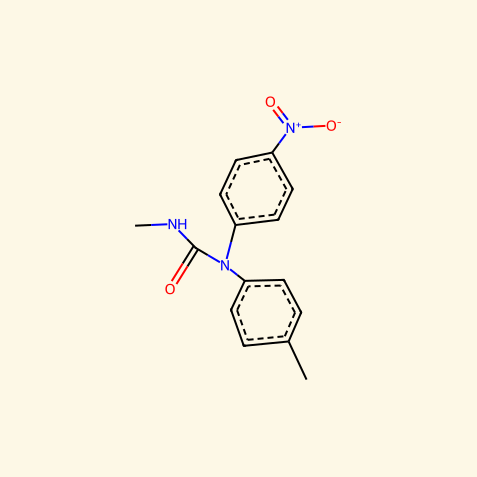 CNC(=O)N(c1ccc(C)cc1)c1ccc([N+](=O)[O-])cc1